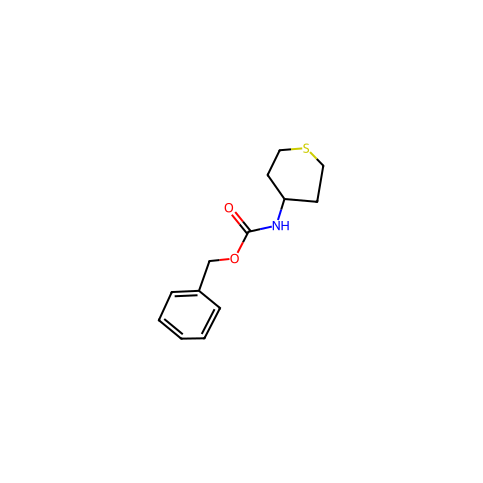 O=C(NC1CCSCC1)OCc1ccccc1